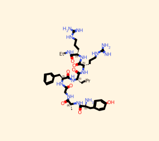 CCNC(=O)[C@H](CCCNC(=N)N)NC(=O)[C@H](CCCNC(=N)N)NC(=O)[C@H](CC(C)C)NC(=O)[C@H](Cc1ccccc1)NC(=O)CNC(=O)[C@@H](C)NC(=O)[C@@H](N)Cc1ccc(O)cc1